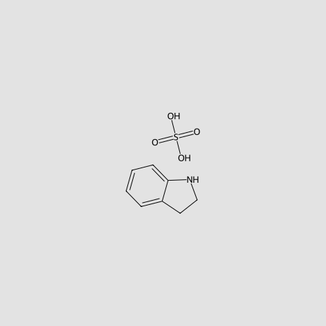 O=S(=O)(O)O.c1ccc2c(c1)CCN2